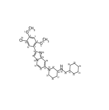 COc1cc(OC)c(-c2cn3ccc(N4CCCC(NCC5CCCCC5)C4)cc3n2)cc1Cl